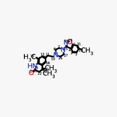 Cc1ccc2c(N3CCN(CCc4cc(C)c5c(c4)C(C)(C)CC(=O)N5)CC3)noc2c1